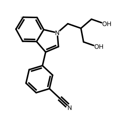 N#Cc1cccc(-c2cn(CC(CO)CO)c3c[c]ccc23)c1